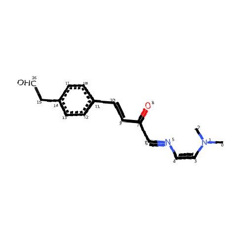 CN(C)/C=C\N=C\C(=O)/C=C/c1ccc(CC=O)cc1